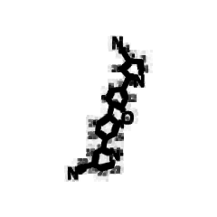 N#Cc1ccnc(-c2ccc3c(c2)oc2cc(-c4cc(C#N)ccn4)ccc23)c1